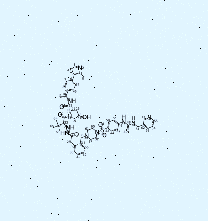 Cc1ncsc1-c1ccc([C@H](C)NC(=O)[C@@H]2C[C@@H](O)CN2C(=O)C(NNC(=O)Cc2ccccc2CN2CCN(S(=O)(=O)c3ccc(NC(=S)NCc4cccnc4)cc3)CC2)C(C)(C)C)cc1